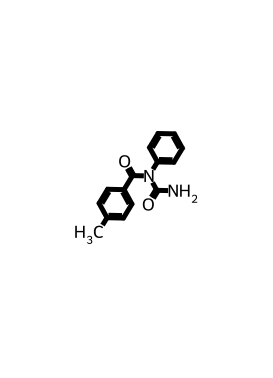 Cc1ccc(C(=O)N(C(N)=O)c2ccccc2)cc1